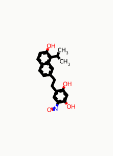 CC(C)c1c(O)ccc2ccc(CCc3cc(N=O)c(O)cc3O)cc12